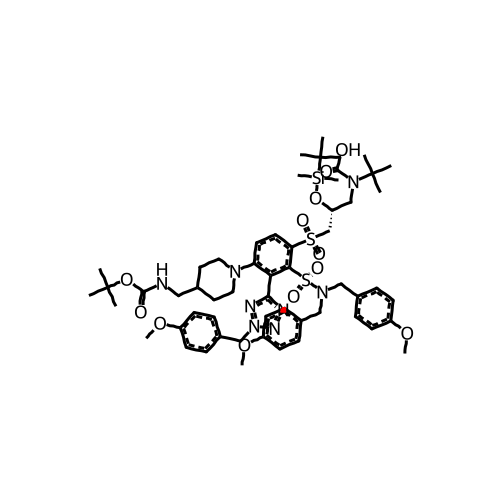 COc1ccc(CN(Cc2ccc(OC)cc2)S(=O)(=O)c2c(S(=O)(=O)C[C@@H](CN(C(=O)O)C(C)(C)C)O[Si](C)(C)C(C)(C)C)ccc(N3CCC(CNC(=O)OC(C)(C)C)CC3)c2-c2nnn(Cc3ccc(OC)cc3)n2)cc1